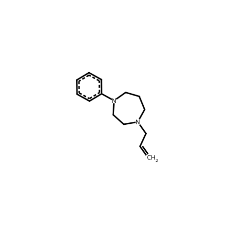 C=CCN1CCCN(c2ccccc2)CC1